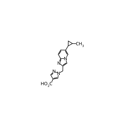 CC1CC1c1ccc2nc(Cn3cc(C(=O)O)cn3)cn2c1